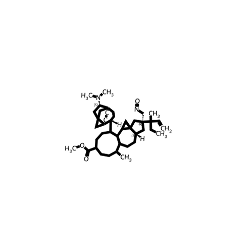 C=CC(C)(CC)[C@@]1(CN=O)C[C@@H]2CCC3C(C)CCC(C(=O)OC)CCC([C@H]4CCC56CCC47CC7(C[C@@H]5N(C)C)C6)C3C3CC32C1